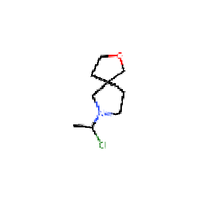 CC(Cl)N1CCC2(CCOC2)C1